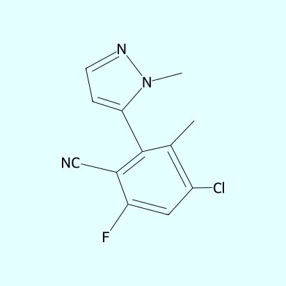 Cc1c(Cl)cc(F)c(C#N)c1-c1ccnn1C